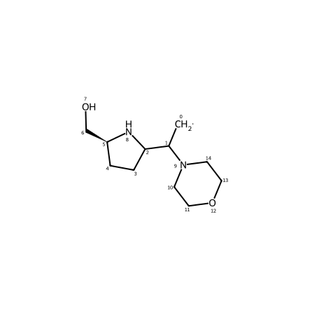 [CH2]C(C1CC[C@@H](CO)N1)N1CCOCC1